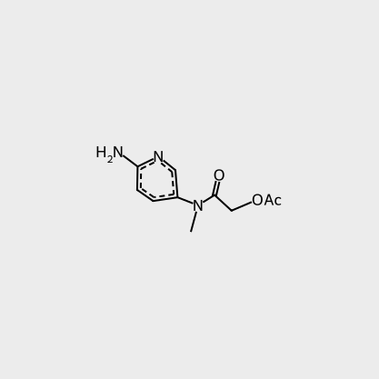 CC(=O)OCC(=O)N(C)c1ccc(N)nc1